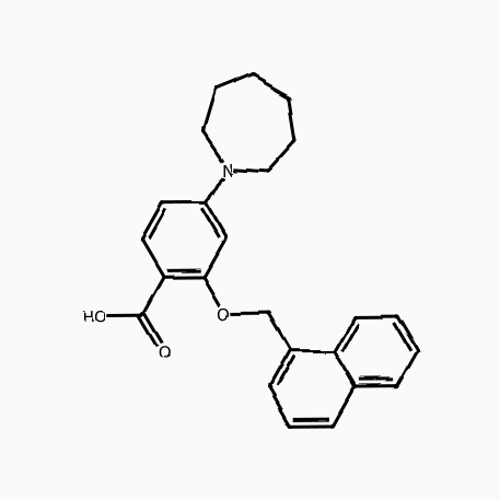 O=C(O)c1ccc(N2CCCCCC2)cc1OCc1cccc2ccccc12